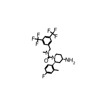 Cc1cc(F)ccc1[C@@H]1C[C@H](N)CCN1C(=O)N(C)Cc1cc(C(F)(F)F)cc(C(F)(F)F)c1